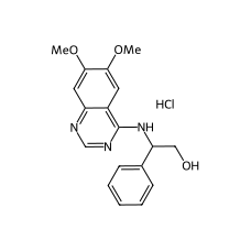 COc1cc2ncnc(NC(CO)c3ccccc3)c2cc1OC.Cl